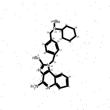 CCCCc1nc2c(N)nc3ccccc3c2n1Cc1ccc(CN(C2CCCCC2)C(C)(C)C)cc1